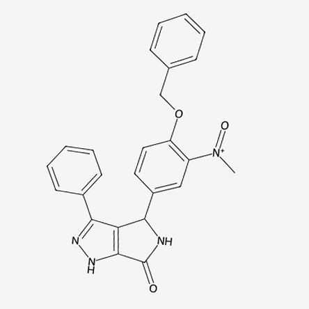 C[N+](=O)c1cc(C2NC(=O)c3[nH]nc(-c4ccccc4)c32)ccc1OCc1ccccc1